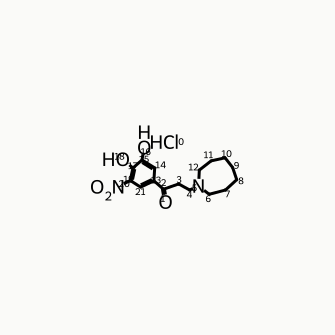 Cl.O=C(CCN1CCCCCCC1)c1cc(O)c(O)c([N+](=O)[O-])c1